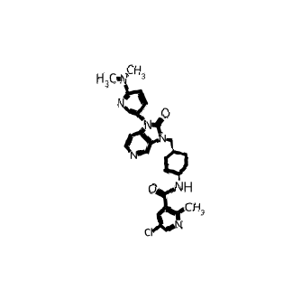 Cc1ncc(Cl)cc1C(=O)N[C@H]1CC[C@H](Cn2c(=O)n(-c3ccc(N(C)C)nc3)c3ccncc32)CC1